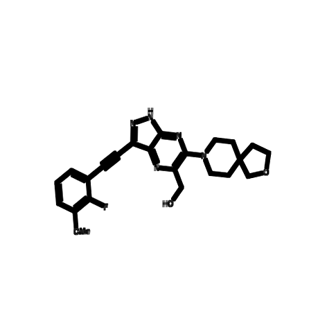 COc1cccc(C#Cc2n[nH]c3nc(N4CCC5(CCOC5)CC4)c(CO)nc23)c1F